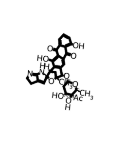 CC(=O)[C@]1(O)[C@H](O)C[C@H](O[C@@H]2c3cc4c(c(O)c3[C@@H]3C[C@@]2(C)O[C@]32C=C3CCN=C3N2)C(=O)c2cccc(O)c2C4=O)O[C@H]1C